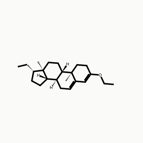 CCOC1=CC2=CC[C@H]3[C@@H]4CC[C@H](CC)[C@@]4(C)CC[C@@H]3[C@@]2(C)CC1